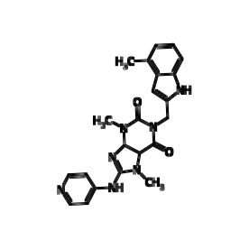 Cc1cccc2[nH]c(CN3C(=O)C4C(N=C(Nc5ccncc5)N4C)N(C)C3=O)cc12